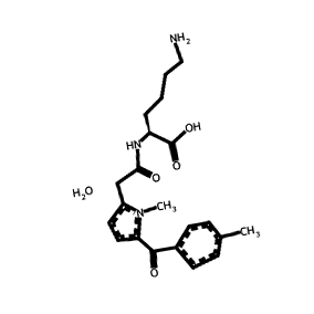 Cc1ccc(C(=O)c2ccc(CC(=O)N[C@@H](CCCCN)C(=O)O)n2C)cc1.O